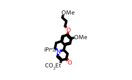 CCOC(=O)C1=CN2C(CC1=O)c1cc(OC)c(OCCCOC)cc1C[C@H]2C(C)C